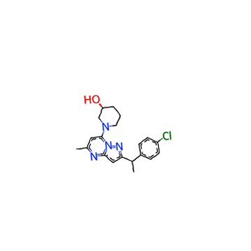 Cc1cc(N2CCC[C@H](O)C2)n2nc(C(C)c3ccc(Cl)cc3)cc2n1